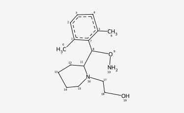 Cc1cccc(C)c1C(ON)C1CCCCN1CCO